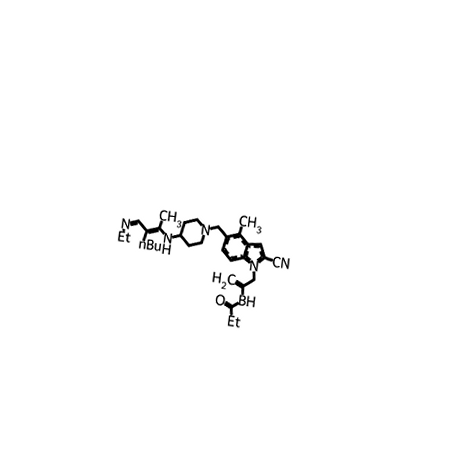 C=C(BC(=O)CC)Cn1c(C#N)cc2c(C)c(CN3CCC(N/C(C)=C(/C=N\CC)CCCC)CC3)ccc21